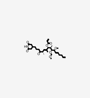 C=CCC/C=C/[C@H](OC)[C@@H](OCOC)[C@H](C)[C@@H](OC(=O)C=C)/C(C)=C/[C@H](C)C(=O)CCCC1CC(=O)NC(=O)C1